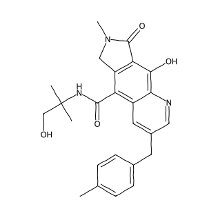 Cc1ccc(Cc2cnc3c(O)c4c(c(C(=O)NC(C)(C)CO)c3c2)CN(C)C4=O)cc1